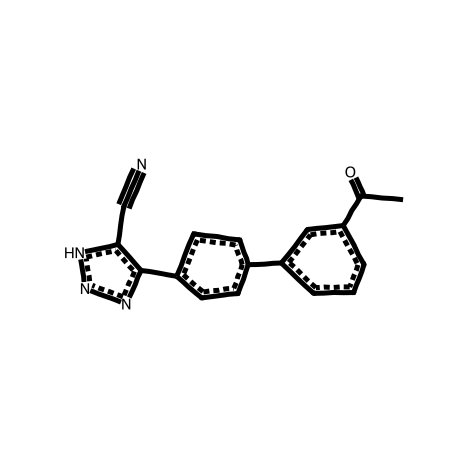 CC(=O)c1cccc(-c2ccc(-c3nn[nH]c3C#N)cc2)c1